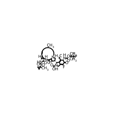 CCC1=C2C(=C(F)C(=O)[C@H]1NC(=O)OC(C)(C)C(F)(F)F)CN(C(=O)O)C2[C@@H]1C[C@H]2C(=O)N[C@]3(C(=O)NS(=O)(=O)C4(C)CC4)C[C@H]3/C=C\CC[C@@H](C)CCCCN2C1